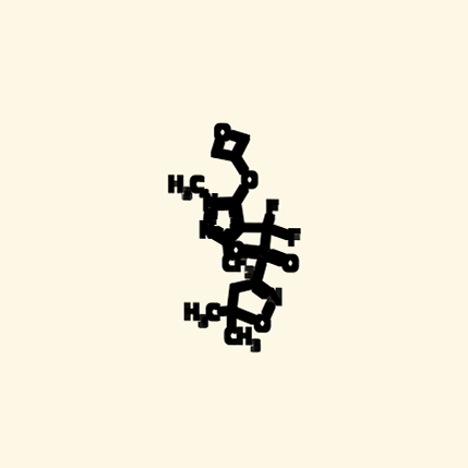 Cn1nc(C(F)(F)F)c(C(F)(F)S(=O)(=O)C2=NOC(C)(C)C2)c1OC1COC1